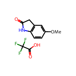 COc1ccc2c(c1)CC(=O)N2.O=C(O)C(F)(F)F